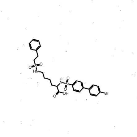 O=C(O)C(CCCCNS(=O)(=O)CCc1ccccc1)NS(=O)(=O)c1ccc(-c2ccc(Br)cc2)cc1